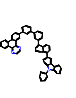 c1ccc(-n2c3ccccc3c3cc(-c4cccc5c(-c6cccc(-c7cccc(-c8ccc9c%10ccccc%10c%10nccnc%10c9c8)c7)c6)cccc45)ccc32)cc1